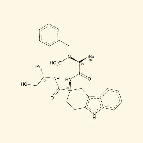 CC[C@H](C)[C@@H](C(=O)N[C@]1(C(=O)N[C@H](CO)C(C)C)CCc2[nH]c3ccccc3c2C1)N(Cc1ccccc1)C(=O)O